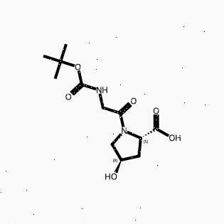 CC(C)(C)OC(=O)NCC(=O)N1C[C@H](O)C[C@H]1C(=O)O